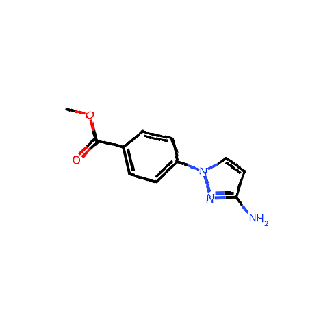 COC(=O)c1ccc(-n2ccc(N)n2)cc1